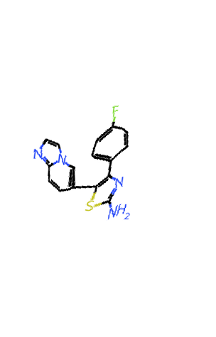 Nc1nc(-c2ccc(F)cc2)c(-c2ccc3nccn3c2)s1